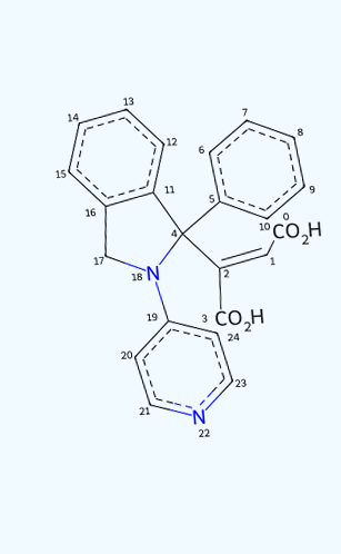 O=C(O)/C=C(/C(=O)O)C1(c2ccccc2)c2ccccc2CN1c1ccncc1